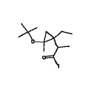 CCC1(C(C)C(=O)I)CC1(C)OC(C)(C)C